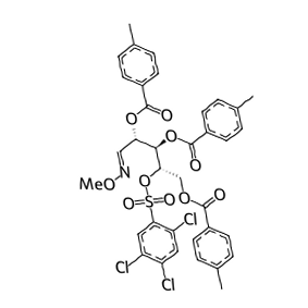 CON=C[C@H](OC(=O)c1ccc(C)cc1)[C@@H](OC(=O)c1ccc(C)cc1)[C@H](COC(=O)c1ccc(C)cc1)OS(=O)(=O)c1cc(Cl)c(Cl)cc1Cl